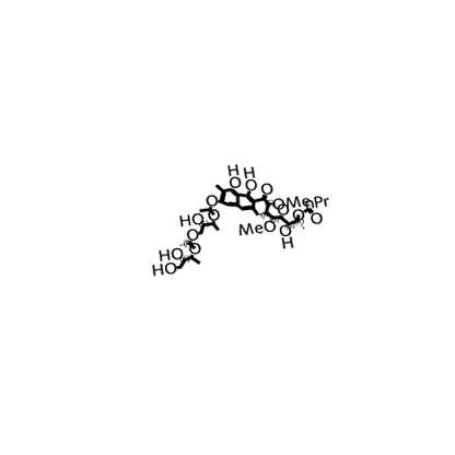 CCCC(=O)O[C@H](C)[C@H](O)C(=O)[C@@H](OC)[C@@H]1Cc2cc3cc(OC(C)OC(C)[C@@H](O)CO[C@@H](C)OC(C)[C@@H](O)CO)c(C)c(O)c3c(O)c2C(=O)[C@H]1OC